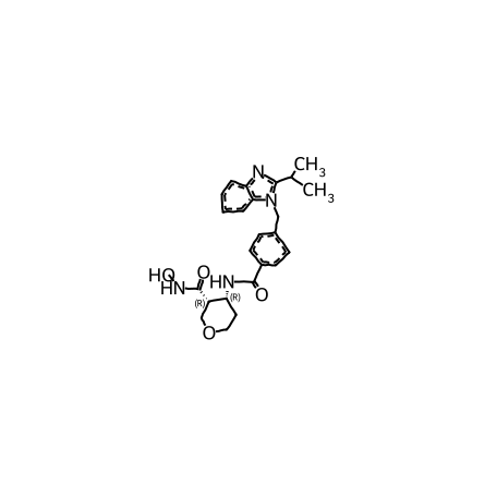 CC(C)c1nc2ccccc2n1Cc1ccc(C(=O)N[C@@H]2CCOC[C@@H]2C(=O)NO)cc1